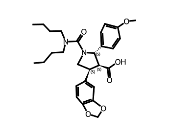 CCCCN(CCCC)C(=O)N1C[C@H](c2ccc3c(c2)OCO3)[C@H](C(=O)O)[C@H]1c1ccc(OC)cc1